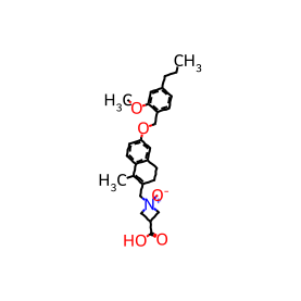 CCCc1ccc(COc2ccc3c(c2)CCC(C[N+]2([O-])CC(C(=O)O)C2)=C3C)c(OC)c1